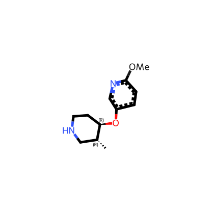 COc1ccc(O[C@@H]2CCNC[C@H]2C)cn1